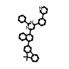 CC1(C)c2ccccc2-c2cc(-c3ccc(-c4cc(-c5cccc(-c6cccnc6)c5)nc(-c5ccccc5)n4)c4ccccc34)ccc21